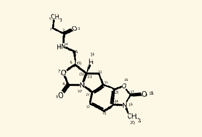 CCC(=O)NC[C@@H]1OC(=O)N2c3ccc4c(oc(=O)n4C)c3C[C@@H]12